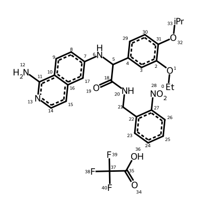 CCOc1cc(C(Nc2ccc3c(N)nccc3c2)C(=O)NCc2ccccc2[N+](=O)[O-])ccc1OC(C)C.O=C(O)C(F)(F)F